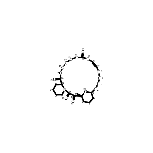 CC12CCCC(CCCCC=CCC(=O)CCCCOC(=O)C3CCCCN3C(=O)C1=O)O2